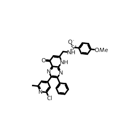 COc1ccc([S+]([O-])NCc2cc(=O)c3nc(-c4cc(C)nc(Cl)c4)c(-c4ccccc4)nc3[nH]2)cc1